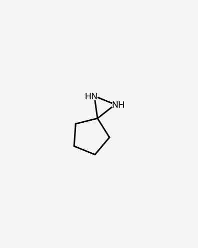 C1CCC2(C1)NN2